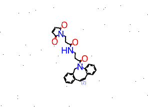 O=C(CCN1C(=O)C=CC1=O)NCCC(=O)N1Cc2ccccc2/C=C\c2ccccc21